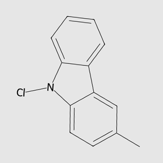 Cc1ccc2c(c1)c1ccccc1n2Cl